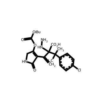 C=C(C1=C(OC(=O)OCC(C)C)CNC1=O)C(NN)(C(=O)O)C(C)(C)c1ccc(Cl)cc1